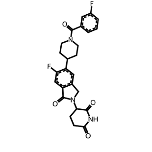 O=C1CCC(N2Cc3cc(C4CCN(C(=O)c5cccc(F)c5)CC4)c(F)cc3C2=O)C(=O)N1